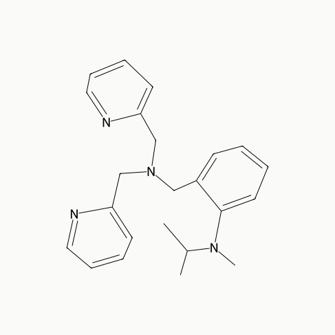 CC(C)N(C)c1ccccc1CN(Cc1ccccn1)Cc1ccccn1